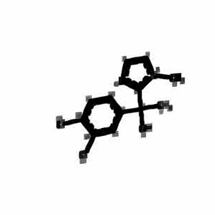 Cn1ccnc1C(C)(O)c1ccc(Cl)c(Cl)c1